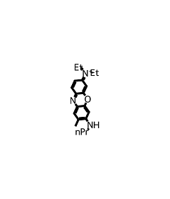 CCCNc1cc2oc3cc(=[N+](CC)CC)ccc-3nc2cc1C